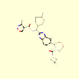 Cc1nocc1C(=O)NC(c1nc2c(F)c(C3COCCN3C(=O)N3CC(F)(F)C3)ccc2[nH]1)C1CCC(C)CC1